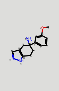 COc1cccc(C2(N)CCc3[nH]ncc3C2)c1